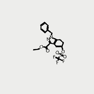 CCOC(=O)c1nn(Cc2ccccc2)c2c1C=C(OS(=O)(=O)C(F)(F)F)CC2